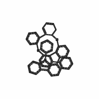 C1=CCC2Oc3cccc(-c4cccc5c6ccccc6n(-c6ccccc6)c45)c3-c3c(cccc3-c3ccccc3)Oc3ccccc3C2=C1